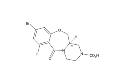 O=C(O)N1CCN2C(=O)c3c(F)cc(Br)cc3OC[C@H]2C1